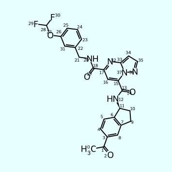 CC(=O)c1ccc2c(c1)CC[C@@H]2NC(=O)c1cc(C(=O)NCc2cccc(OC(F)F)c2)nc2ccnn12